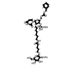 COP(=O)(O)OC1[C@@H](COC(=O)OCc2ccccc2)O[C@@H](n2ccc(=O)[nH]c2=O)[C@H]1CCCCCCCNC(=O)CCCCO[C@@H]1O[C@H](CO)[C@H](O)[C@H](O)[C@H]1NC(C)=O